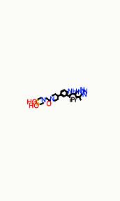 Cc1cc(-c2[nH]c3ccc(C4CCN(C(=O)CN5CCS(O)(O)CC5)CC4)cc3c2C(C)C)cn2nnnc12